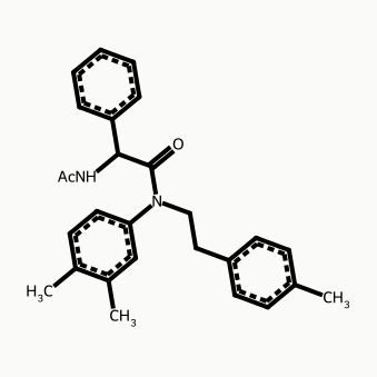 CC(=O)NC(C(=O)N(CCc1ccc(C)cc1)c1ccc(C)c(C)c1)c1ccccc1